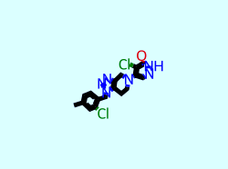 Cc1ccc(Cn2nnc3c2CCN(c2cn[nH]c(=O)c2Cl)C3)c(Cl)c1